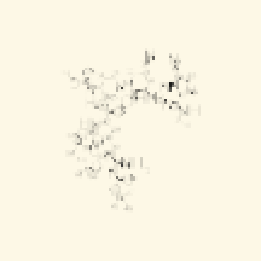 CCNc1nc(Nc2cc(C#N)cc(N3CC[C@@H](NC(=O)OC)[C@H](OC(=O)C(CCCN(C(=O)OC(C)(C)C)/C(N)=N/C(=O)OC(C)(C)C)NC(=O)OC(C)(C)C)C3)c2Cl)nn2c(C#N)cnc12